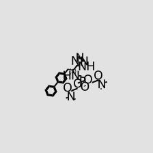 CN(C)C(=O)COP(=O)(CN[C@@H](Cc1ccc(-c2ccccc2)cc1)c1nnn[nH]1)OCC(=O)N(C)C